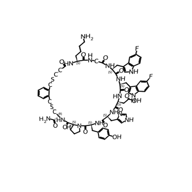 NCCCC[C@@H]1NC(=O)CCSCc2ccccc2CSC[C@@H](C(N)=O)NC(=O)[C@@H]2CCCN2C(=O)[C@H](Cc2ccc(O)cc2)NC(=O)[C@H](Cc2c[nH]cn2)NC(=O)[C@H](CC(=O)O)NC(=O)[C@H](Cc2c[nH]c3ccc(F)cc23)NC(=O)[C@H](Cc2c[nH]c3ccc(F)cc23)NC(=O)CNC1=O